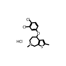 Cc1cc2c(s1)CN(C)CCC2Oc1ccc(Cl)c(Cl)c1.Cl